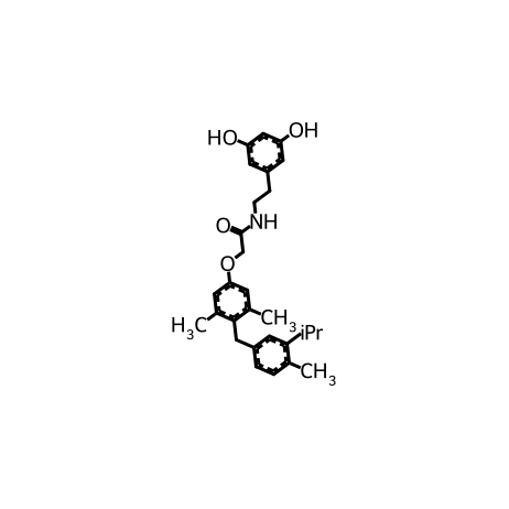 Cc1ccc(Cc2c(C)cc(OCC(=O)NCCc3cc(O)cc(O)c3)cc2C)cc1C(C)C